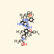 C=S(=O)(c1ccccc1Nc1nc(Nc2cc(C)c(C3CCN(C(C)CO)CC3)cc2OC(C)C)nc2[nH]ccc12)C(C)C